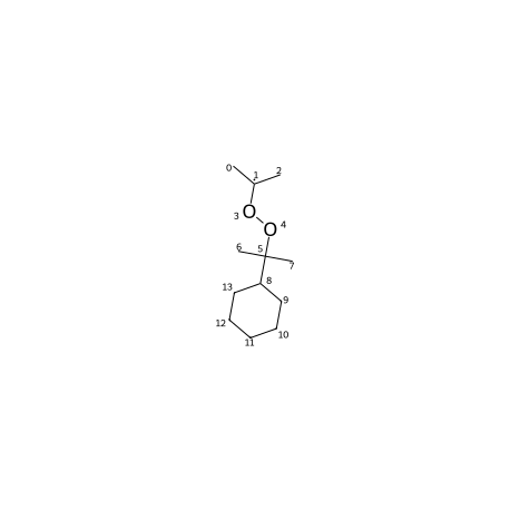 C[C](C)OOC(C)(C)C1CCCCC1